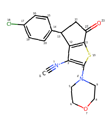 [C-]#[N+]c1c(N2CCOCC2)sc2c1C(c1ccc(Cl)cc1)CC2=O